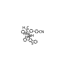 CC=C=C(NC(NNc1cc2c(cc1-c1ccccc1)sc1ccccc12)c1cccc(-c2ccc(C#N)cc2)c1)c1ccccc1